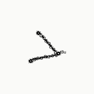 CC(C)(C)c1ccc(OCCOCCOCCOCCOCCOCCOCc2ccccc2)c(OCCOCCOCCOCCOCCOCCOCc2ccccc2)c1